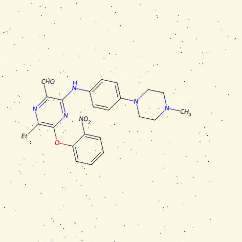 CCc1nc(C=O)c(Nc2ccc(N3CCN(C)CC3)cc2)nc1Oc1ccccc1[N+](=O)[O-]